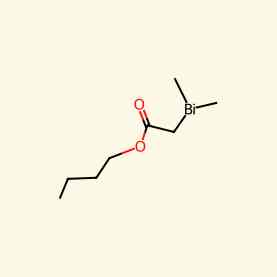 CCCCOC(=O)[CH2][Bi]([CH3])[CH3]